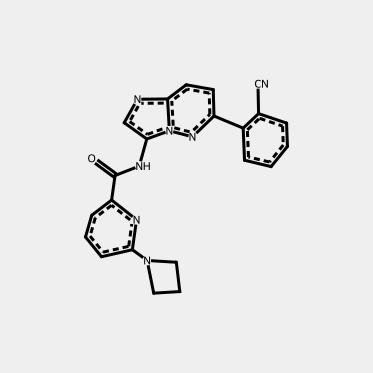 N#Cc1ccccc1-c1ccc2ncc(NC(=O)c3cccc(N4CCC4)n3)n2n1